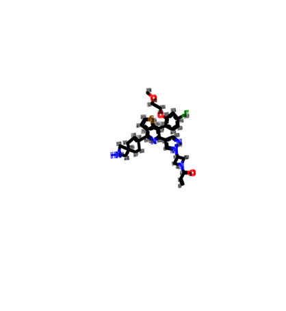 C=CC(=O)N1CC(n2cc(-c3nc(C4=CCC5(CC4)CNC5)c4ccsc4c3-c3ccc(F)cc3OCCOC)cn2)C1